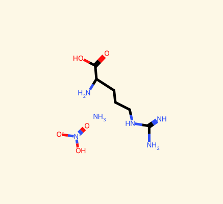 N.N=C(N)NCCCC(N)C(=O)O.O=[N+]([O-])O